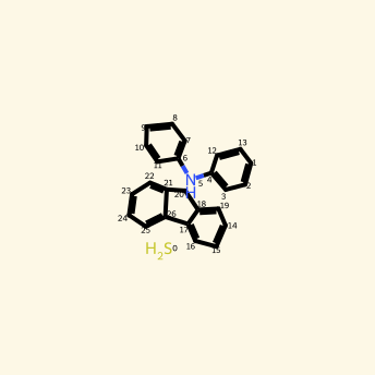 S.c1ccc(Nc2ccccc2)cc1.c1ccc2c(c1)Cc1ccccc1-2